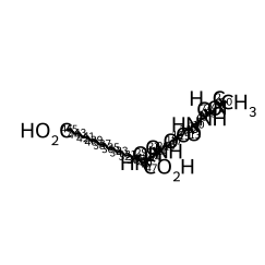 CC(C)=NOCC(=O)NCCNC(=O)COCCOCCNC(=O)CC[C@H](NC(O)CCCCCCCCCCCCCCCCC(=O)O)C(=O)O